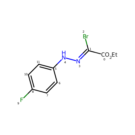 CCOC(=O)C(Br)=NNc1ccc(F)cc1